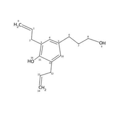 C=CCc1cc(CCCO)cc(CC=C)c1O